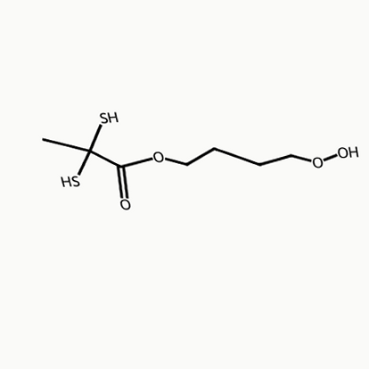 CC(S)(S)C(=O)OCCCCOO